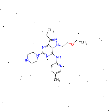 CCOCCn1nc(CC)c2nc(N3CCNCC3)nc(Nc3ccc(C)cn3)c21